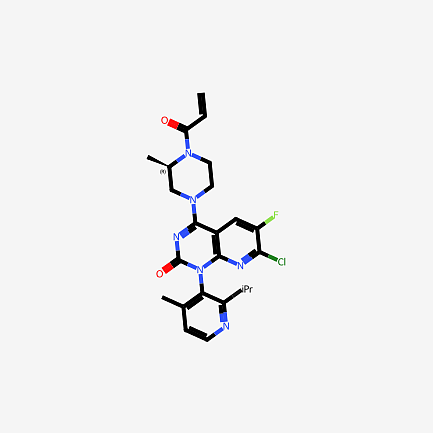 C=CC(=O)N1CCN(c2nc(=O)n(-c3c(C)ccnc3C(C)C)c3nc(Cl)c(F)cc23)C[C@H]1C